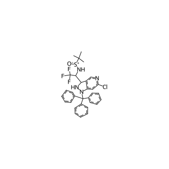 CC(C)(C)[S+]([O-])NC(C1NN(C(c2ccccc2)(c2ccccc2)c2ccccc2)c2cc(Cl)ncc21)C(F)(F)F